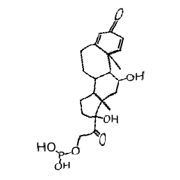 CC12C=CC(=O)C=C1CCC1C2C(O)CC2(C)C1CCC2(O)C(=O)COP(O)O